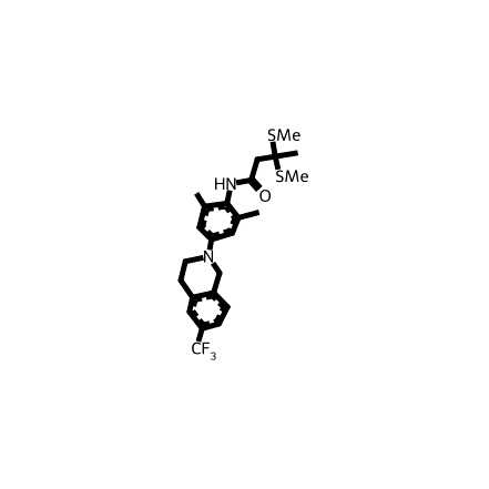 CSC(C)(CC(=O)Nc1c(C)cc(N2CCc3cc(C(F)(F)F)ccc3C2)cc1C)SC